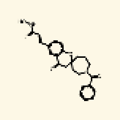 O=C(/C=C/c1ccc2c(c1)C(=O)CC1(CCCN(C(=O)c3ccccc3)CC1)O2)NO